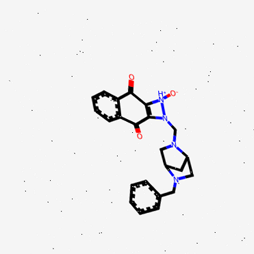 O=C1C2=C(C(=O)c3ccccc31)[NH+]([O-])N2CN1CC2CC1CN2Cc1ccccc1